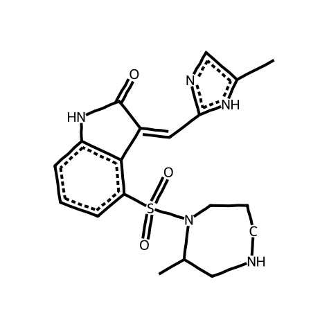 Cc1cnc(/C=C2\C(=O)Nc3cccc(S(=O)(=O)N4CCCNCC4C)c32)[nH]1